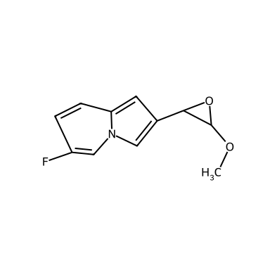 COC1OC1c1cc2ccc(F)cn2c1